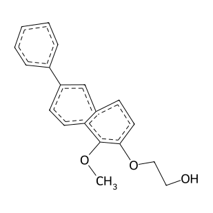 COc1c(OCCO)ccc2cc(-c3ccccc3)ccc12